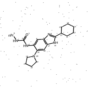 CCCNC(=O)Nc1cc2nc(C3CCCCC3)[nH]c2cc1N1CCCC1